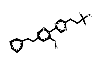 CCSc1cc(CCc2ccccc2)cnc1-c1cnc(CCC(F)(F)C(F)(F)F)cn1